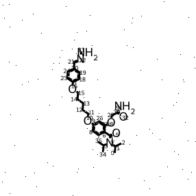 CC(C)N(C(=O)c1ccc(OCCCCCOc2ccc(C=NN)cc2)cc1OCC(N)=O)C(C)C